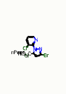 CCCCCCl.O=C(O)c1cc(Br)nn1-c1ncccc1Cl